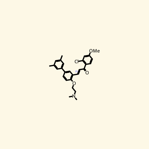 COc1ccc(C(=O)/C=C/c2cc(-c3cc(C)cc(C)c3)ccc2OCCN(C)C)c(Cl)c1